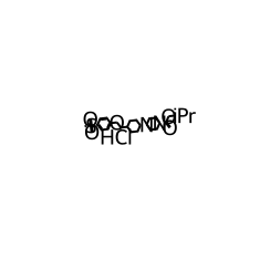 CC(C)OC(=O)N1CCN(C2CCC(COc3ccc(S(C)(=O)=O)cc3)CC2)CC1.Cl